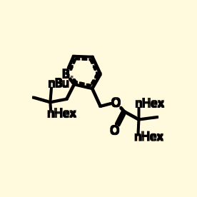 CCCCCCC(C)(CCCC)Cc1bcccc1COC(=O)C(C)(CCCCCC)CCCCCC